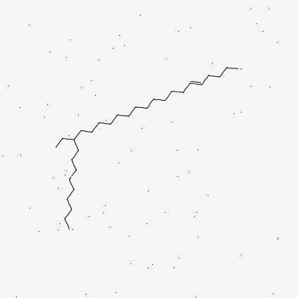 [CH2]CCC/C=C/CCCCCCCCCCCCC(CC)CCCCCCCC[CH2]